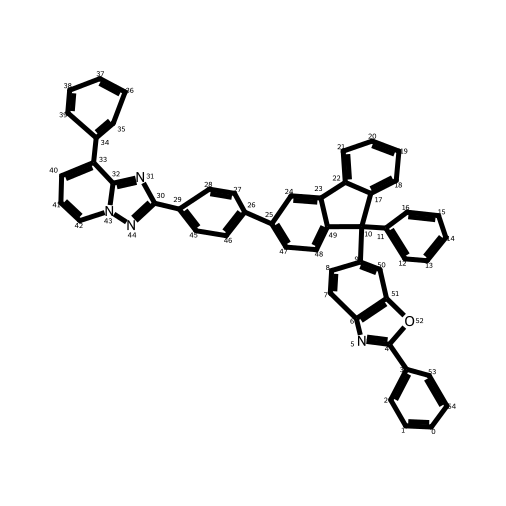 c1ccc(-c2nc3ccc(C4(c5ccccc5)c5ccccc5-c5cc(-c6ccc(-c7nc8c(-c9ccccc9)cccn8n7)cc6)ccc54)cc3o2)cc1